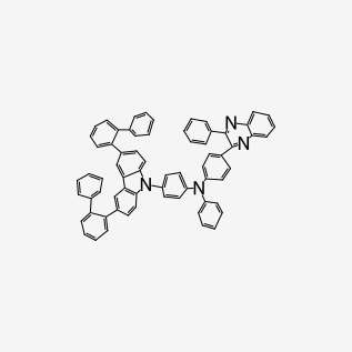 c1ccc(-c2ccccc2-c2ccc3c(c2)c2cc(-c4ccccc4-c4ccccc4)ccc2n3-c2ccc(N(c3ccccc3)c3ccc(-c4nc5ccccc5nc4-c4ccccc4)cc3)cc2)cc1